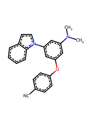 CN(C)c1cc(Oc2ccc(C#N)cc2)cc(-n2ccc3ccccc32)c1